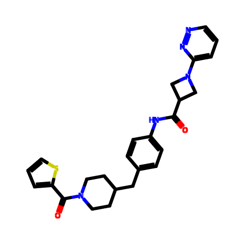 O=C(Nc1ccc(CC2CCN(C(=O)c3cccs3)CC2)cc1)C1CN(c2cccnn2)C1